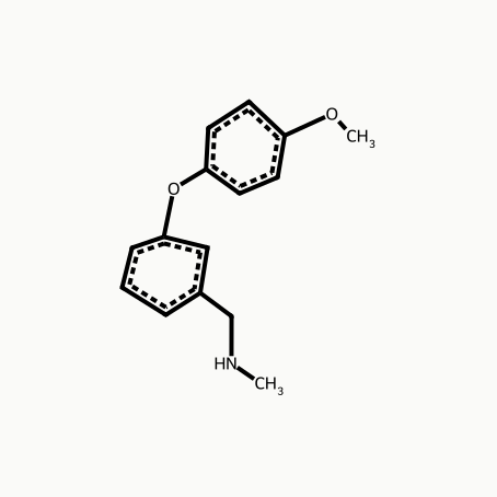 CNCc1cccc(Oc2ccc(OC)cc2)c1